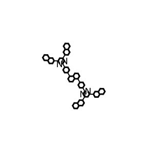 c1ccc2cc(-c3cc(-c4ccc5ccccc5c4)nc(-c4ccc(-c5cccc6c(-c7ccc(-c8nc(-c9ccc%10ccccc%10c9)cc(-c9ccc%10ccccc%10c9)n8)cc7)cccc56)cc4)n3)ccc2c1